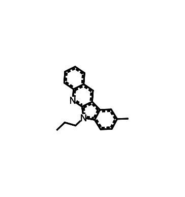 CCCn1c2ccc(C)cc2c2cc3ccccc3nc21